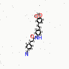 N#Cc1ccc(/C=C/C(=O)Nc2ccc(/C=C/c3ccc4c(c3)OCO4)cc2)cc1